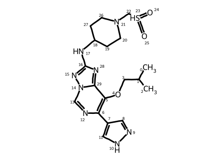 CC(C)COc1c(-c2cn[nH]c2)ncn2nc(NC3CCN(C[SH](=O)=O)CC3)nc12